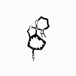 Fc1ccc2c(c1)CO[B-]21NCCCO1